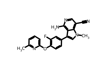 Cc1cccc(Oc2ccc(-c3cn(C)c4c(C#N)cnc(N)c34)cc2F)n1